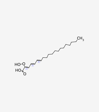 CCCCCCCCCCCCC/C=C/C=C/C=C(\OO)C(=O)O